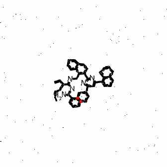 C=CC(=C\C=C/C)/C(=N/Cc1c(-c2nc(-c3ccccc3)cc(-c3cccc4ccccc34)n2)ccc2ccccc12)/N=C(\N)c1ccccc1